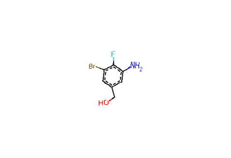 Nc1cc(CO)cc(Br)c1F